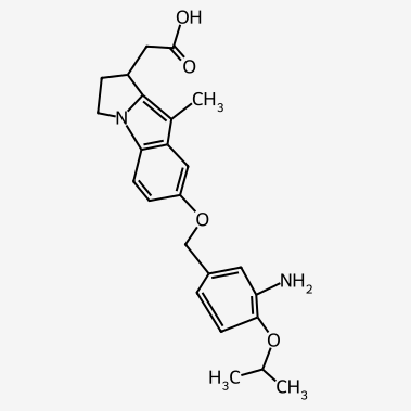 Cc1c2n(c3ccc(OCc4ccc(OC(C)C)c(N)c4)cc13)CCC2CC(=O)O